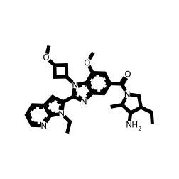 CCC1CN(C(=O)c2cc(OC)c3c(c2)nc(-c2cc4cccnc4n2CC)n3C2CC(OC)C2)C(C)C1N